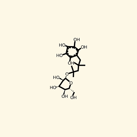 CC(C)(Cc1c(O)c(O)c(O)c(O)c1O)CC(C)(C)O[C@@H]1O[C@H](CO)[C@@H](O)[C@H](O)[C@H]1O